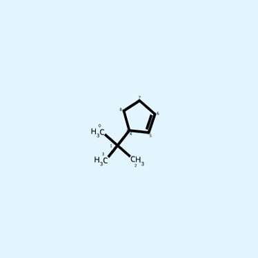 CC(C)(C)[C]1C=CCC1